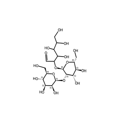 O=CC(O[C@H]1O[C@H](CO)[C@@H](O)[C@H](O)[C@@H]1O[C@@H]1O[C@H](CO)[C@@H](O)[C@H](O)[C@@H]1O)C(O)C(O)C(O)CO